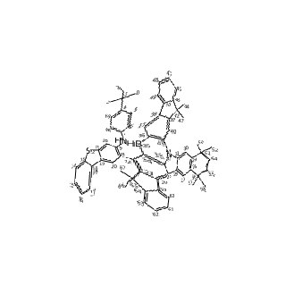 CC(C)(C)c1ccc(Nc2cc3sc4ccccc4c3cc2-c2c3c(c4c5cc6c(cc5n5c4c2Bc2cc4c(cc2-5)C(C)(C)c2ccccc2-4)C(C)(C)CCC6(C)C)-c2ccccc2C3(C)C)cc1